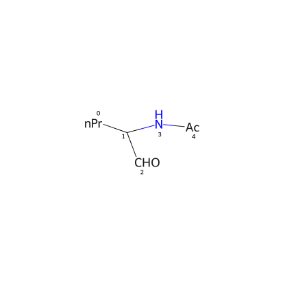 CCCC(C=O)NC(C)=O